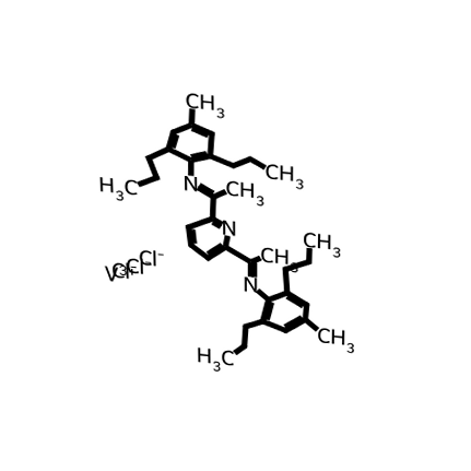 CCCc1cc(C)cc(CCC)c1N=C(C)c1cccc(C(C)=Nc2c(CCC)cc(C)cc2CCC)n1.[Cl-].[Cl-].[Cl-].[V+3]